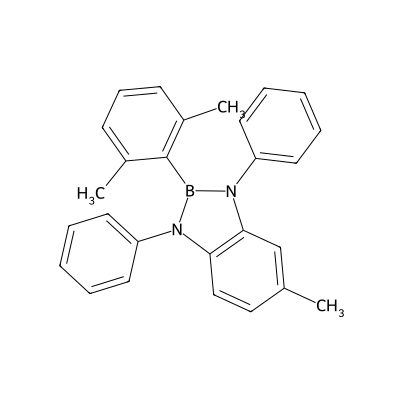 Cc1ccc2c(c1)N(c1ccccc1)B(c1c(C)cccc1C)N2c1ccccc1